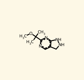 COC(C)(C)c1ncc2c(n1)NNC2